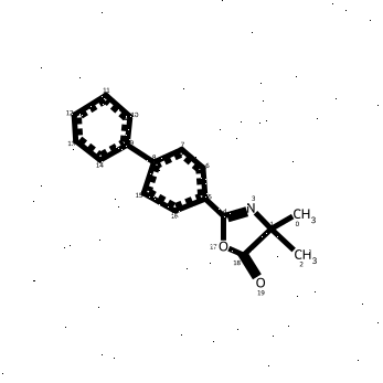 CC1(C)N=C(c2ccc(-c3ccccc3)cc2)OC1=O